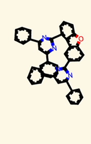 c1ccc(-c2cc(-c3ccccc3)nc(-c3ccc4oc5cccc(-c6nc(-c7ccccc7)cc(-c7ccccc7)n6)c5c4c3)n2)cc1